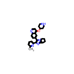 Cc1cccc(-c2nc3n(c2-c2ccc4nccc(OC5CCNCC5)c4c2)C2CCC3C2)n1